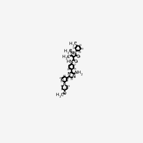 COC1CCN(c2cc(-c3cnc(N)c(-c4ccc(NC(=O)c5c(C)n(C)n(-c6cccc(C)c6)c5=O)cc4)n3)ccn2)CC1